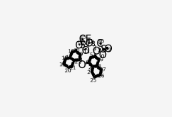 O=S(=O)(Oc1cc(Oc2cc(OS(=O)(=O)C(F)(F)F)cc3ccccc23)c2ccccc2c1)C(F)(F)F